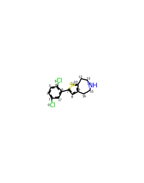 Clc1ccc(Cl)c(-c2cc3c(s2)CCNCC3)c1